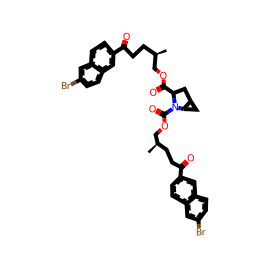 C[C@H](CCC(=O)c1ccc2cc(Br)ccc2c1)COC(=O)C1CC2CC2N1C(=O)OC[C@H](C)CCC(=O)c1ccc2cc(Br)ccc2c1